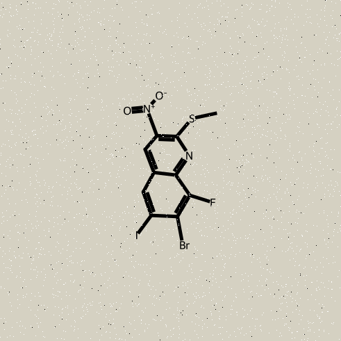 CSc1nc2c(F)c(Br)c(I)cc2cc1[N+](=O)[O-]